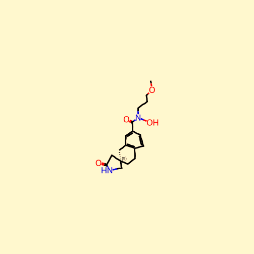 COCCCN(O)C(=O)c1ccc2c(c1)C[C@]1(CC2)CNC(=O)C1